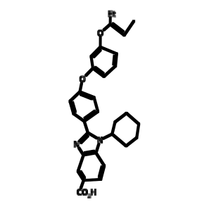 CC=C(CC)Oc1cccc(Oc2ccc(-c3nc4cc(C(=O)O)ccc4n3C3CCCCC3)cc2)c1